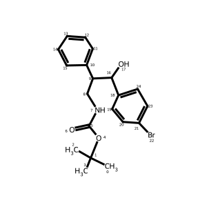 CC(C)(C)OC(=O)NCC(c1ccccc1)C(O)c1ccc(Br)cc1